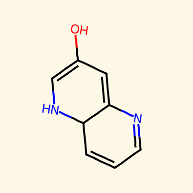 OC1=CNC2C=CC=NC2=C1